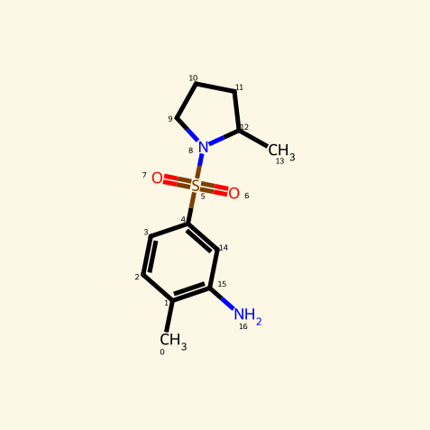 Cc1ccc(S(=O)(=O)N2CCCC2C)cc1N